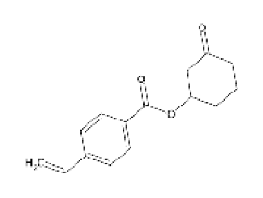 C=Cc1ccc(C(=O)OC2CCCC(=O)C2)cc1